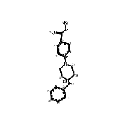 O=C(CBr)c1ccc(N2CCN(Cc3ccccc3)CC2)cc1